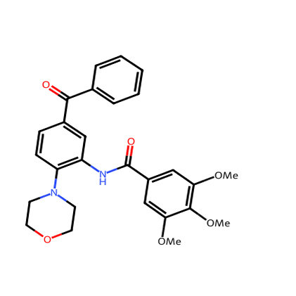 COc1cc(C(=O)Nc2cc(C(=O)c3ccccc3)ccc2N2CCOCC2)cc(OC)c1OC